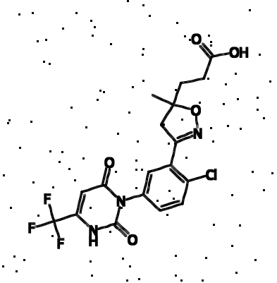 CC1(CCC(=O)O)CC(c2cc(-n3c(=O)cc(C(F)(F)F)[nH]c3=O)ccc2Cl)=NO1